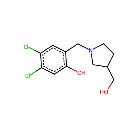 OCC1CCN(Cc2cc(Cl)c(Cl)cc2O)C1